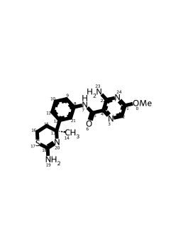 COc1cnc(C(=O)Nc2cccc([C@]3(C)CCSC(N)=N3)c2)c(N)n1